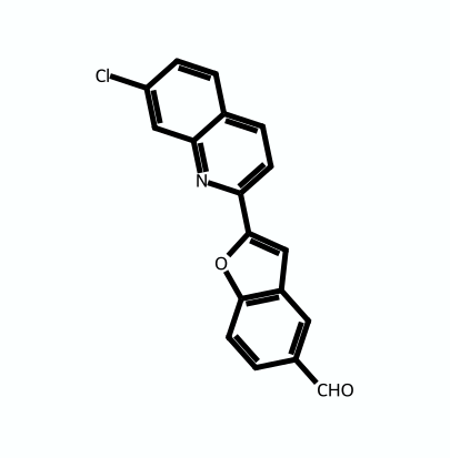 O=Cc1ccc2oc(-c3ccc4ccc(Cl)cc4n3)cc2c1